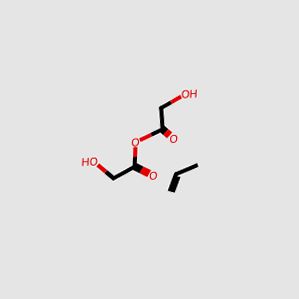 C=CC.O=C(CO)OC(=O)CO